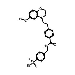 CCS(=O)(=O)c1ccc(CNC(=O)c2ccc(CCN3CCOc4ccc(OC(C)C)cc43)cc2)cc1